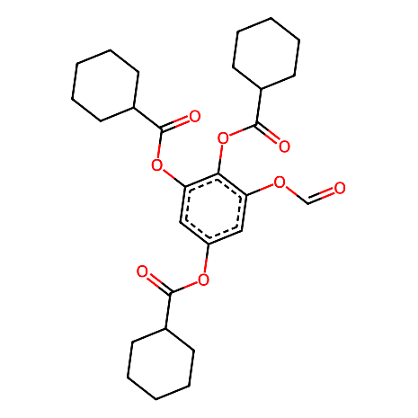 O=COc1cc(OC(=O)C2CCCCC2)cc(OC(=O)C2CCCCC2)c1OC(=O)C1CCCCC1